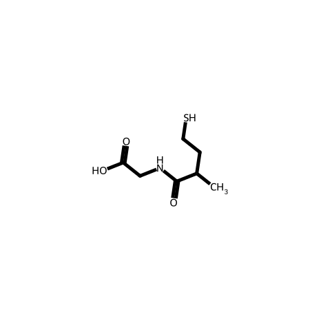 CC(CCS)C(=O)NCC(=O)O